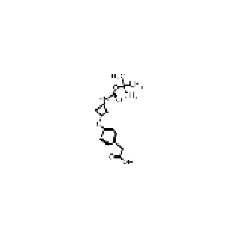 CC(C)(C)OC(=O)NC1CC(Oc2ccc(CC(=O)O)cc2)C1